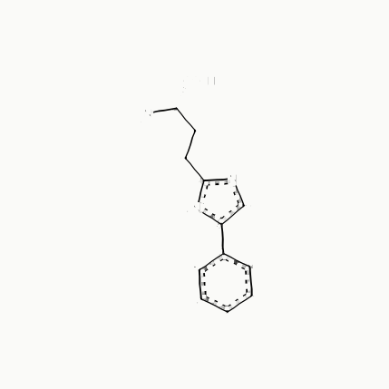 N[C@@H](CCc1nc(-c2ccccc2)c[nH]1)C(=O)O